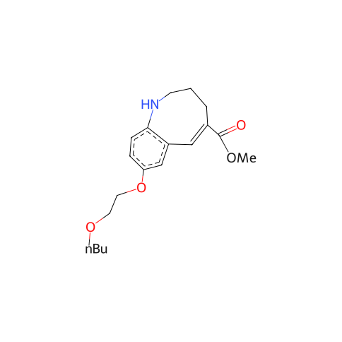 CCCCOCCOc1ccc2c(c1)/C=C(/C(=O)OC)CCCN2